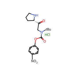 CC(C)(C)N(CC(=O)[C@@H]1CCCN1)C(=O)Oc1ccc([N+](=O)[O-])cc1.Cl